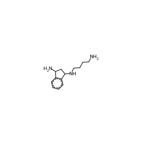 NCCCCNC1CC(N)c2ccccc21